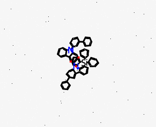 c1ccc(-c2cccc(-n3c4ccccc4c4cc(-n5c6ccc(-c7ccccc7)cc6c6cccc([Si](c7ccccc7)(c7ccccc7)c7ccccc7)c65)ccc43)c2)cc1